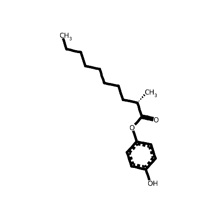 CCCCCCCC[C@H](C)C(=O)Oc1ccc(O)cc1